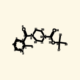 Cc1ncccc1C(=O)N1CCN(C(=O)OC(C)(C)C)CC1